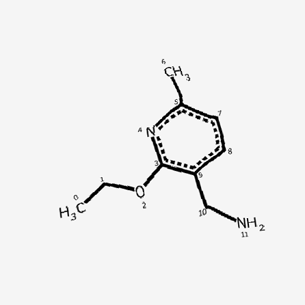 CCOc1nc(C)ccc1CN